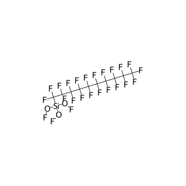 FO[Si](OF)(OF)C(F)(F)C(F)(F)C(F)(F)C(F)(F)C(F)(F)C(F)(F)C(F)(F)C(F)(F)C(F)(F)C(F)(F)F